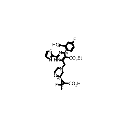 C#Cc1cc(F)ccc1[C@@H]1N=C(c2nccs2)NC(CN2CCO[C@H](C3C(C(=O)O)C3(F)F)C2)=C1C(=O)OCC